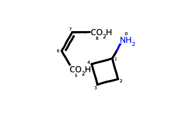 NC1CCC1.O=C(O)/C=C\C(=O)O